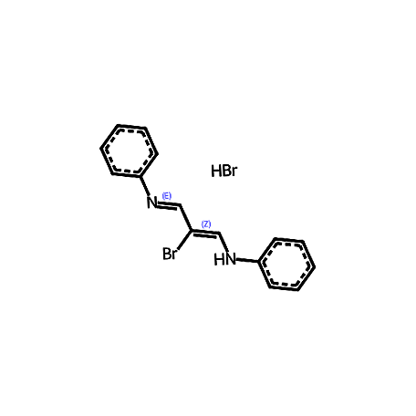 Br.BrC(=C\Nc1ccccc1)/C=N/c1ccccc1